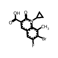 Cc1c(Br)c(F)cc2cc(C(=O)O)c(=O)n(C3CC3)c12